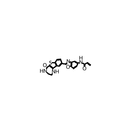 C=CC(=O)Nc1ccc2oc(-c3ccc4sc5c(c4c3)NCCNC5=O)nc2c1